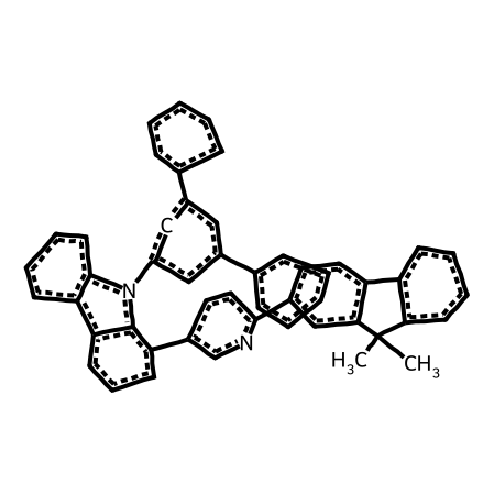 CC1(C)c2ccccc2-c2ccc(-c3ccc(-c4cccc5c6ccccc6n(-c6cc(-c7ccccc7)cc(-c7ccccc7)c6)c45)cn3)cc21